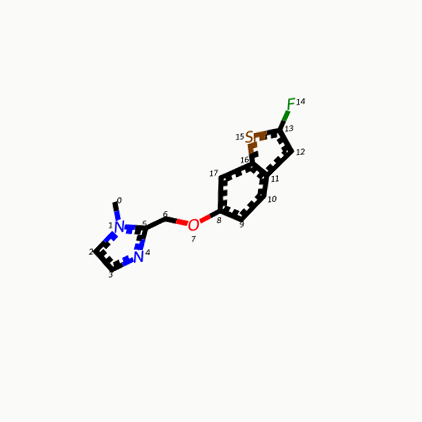 Cn1ccnc1COc1ccc2cc(F)sc2c1